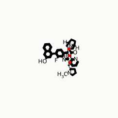 CN1CCC[C@H]1COc1nc(N2C[C@H]3CC[C@@H](C2)N3CC(=O)Nc2ccccn2)c2ccc(-c3cc(O)cc4ccccc34)c(F)c2n1